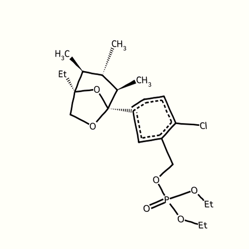 CCOP(=O)(OCC)OCc1cc([C@]23OC[C@](CC)(O2)[C@@H](C)[C@H](C)[C@H]3C)ccc1Cl